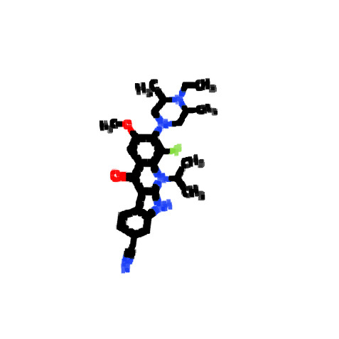 CCN1C(C)CN(c2c(OC)cc3c(=O)c4c5ccc(C#N)cc5[nH]c4n(C(C)C)c3c2F)CC1C